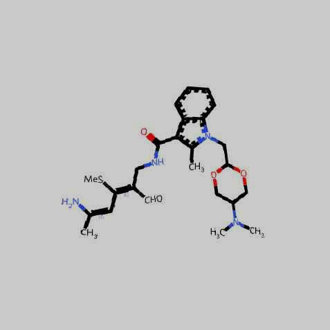 CSC(/C=C(/C)N)=C(/C=O)CNC(=O)c1c(C)n(CC2OCC(N(C)C)CO2)c2ccccc12